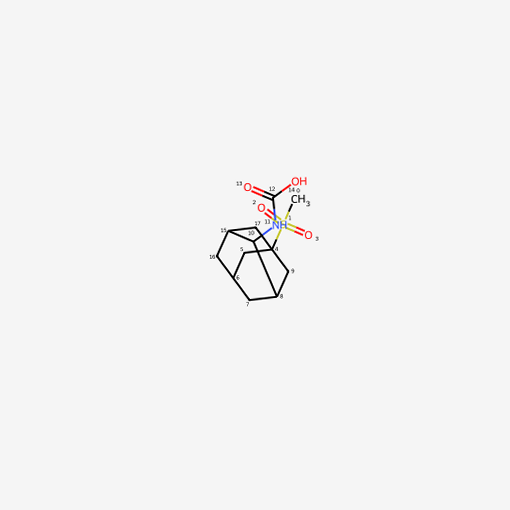 CS(=O)(=O)C12CC3CC(C1)C(NC(=O)O)C(C3)C2